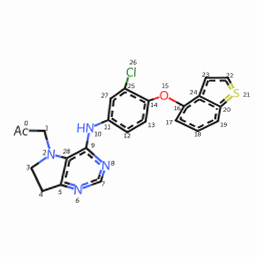 CC(=O)CN1CCc2ncnc(Nc3ccc(Oc4cccc5sccc45)c(Cl)c3)c21